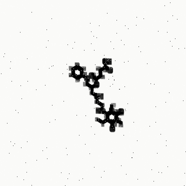 CCc1c(NCCNCC(COc2ccccc2)OC(=O)/C=C/C(=O)O)n(C)c(=O)n(C)c1=O